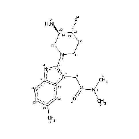 CN(C)C(=O)Cn1c(N2CC[C@@H](F)[C@H](N)C2)nc2ccc(C(F)(F)F)cc21